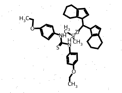 CCOc1ccc(NC(=S)Nc2ccc(OCC)cc2)cc1.C[Si](C)=[Zr][CH](C1C=CC2=C1CCCC2)C1C=CC2=C1CCCC2